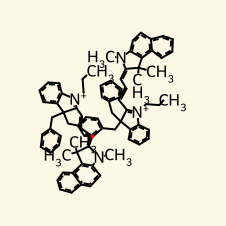 CCC[N+]1=C(/C=C/C=C2/N(C)c3ccc4ccccc4c3C2(C)C)C(Cc2ccccc2)(Cc2ccc(CC3(Cc4ccccc4)C(/C=C/C=C4/N(C)c5ccc6ccccc6c5C4(C)C)=[N+](CCC)c4ccccc43)cc2)c2ccccc21